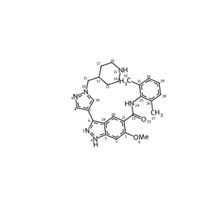 COc1cc2[nH]nc(-c3cnn(CC4CCNCC4)c3)c2cc1C(=O)Nc1c(C)cccc1C